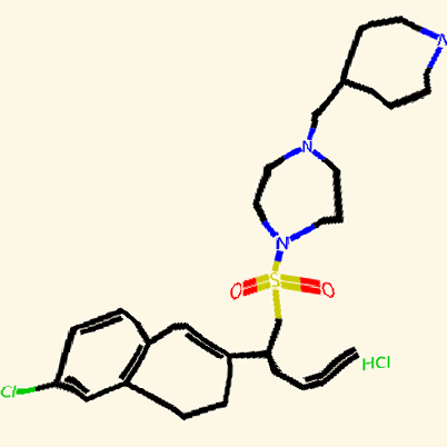 C=CC(C1=Cc2ccc(Cl)cc2CC1)S(=O)(=O)N1CCN(CC2CCNCC2)CC1.Cl